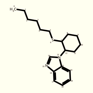 CCCCCCSC1CCCCC1n1cnc2ccccc21